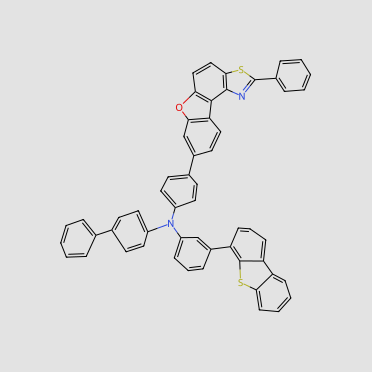 c1ccc(-c2ccc(N(c3ccc(-c4ccc5c(c4)oc4ccc6sc(-c7ccccc7)nc6c45)cc3)c3cccc(-c4cccc5c4sc4ccccc45)c3)cc2)cc1